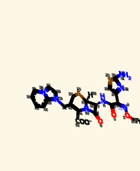 CC(C)O/N=C(\C(=O)N[C@@H]1C(=O)N2C(C(=O)[O-])=C(Cn3cc[n+]4ccccc34)CS[C@@H]12)c1csc(N)n1